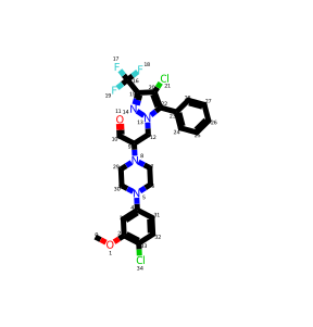 COc1cc(N2CCN(C(C=O)Cn3nc(C(F)(F)F)c(Cl)c3-c3ccccc3)CC2)ccc1Cl